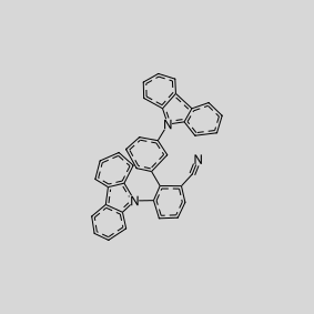 N#Cc1cccc(-n2c3ccccc3c3ccccc32)c1-c1cccc(-n2c3ccccc3c3ccccc32)c1